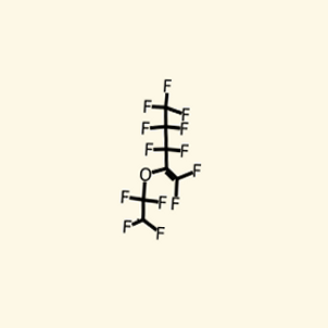 F[C](F)C(F)(F)OC(=C(F)F)C(F)(F)C(F)(F)C(F)(F)F